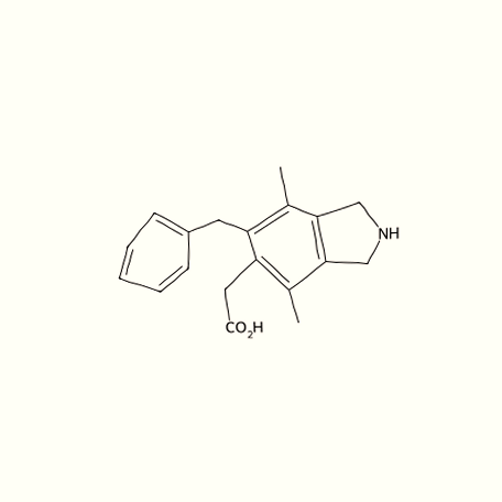 Cc1c2c(c(C)c(Cc3ccccc3)c1CC(=O)O)CNC2